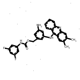 Cc1cc2nc3ccccc3c(Nc3cc(N)cc(COC(=O)Nc4cc(F)cc(F)c4)c3)c2cc1C